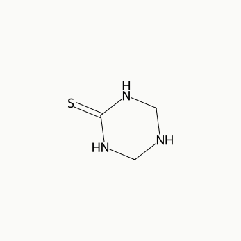 S=C1NCNCN1